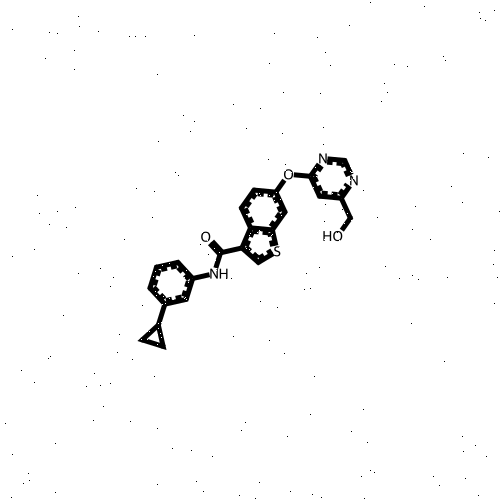 O=C(Nc1cccc(C2CC2)c1)c1csc2cc(Oc3cc(CO)ncn3)ccc12